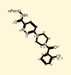 CCCCCNC(=O)c1ccc(N2CCN(C(=O)c3ccccc3C(F)(F)F)CC2)nn1